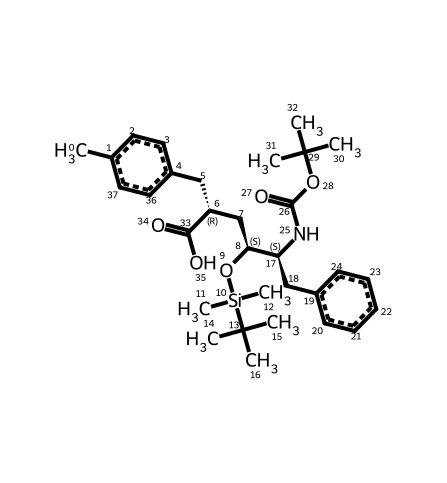 Cc1ccc(C[C@H](C[C@H](O[Si](C)(C)C(C)(C)C)[C@H](Cc2ccccc2)NC(=O)OC(C)(C)C)C(=O)O)cc1